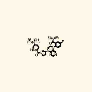 CCN(C(=O)c1cc(F)ccc1N1CCN([C@@H]2CCN(C(=O)[C@@H]3CC[C@H](N(C)[SH]=O)CN3)C2)c2ncncc21)C(C)C